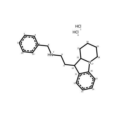 Cl.Cl.c1ccc(CNCCC2c3ccccc3N3CCCCC23)cc1